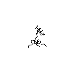 CCCO[Si](CC)(CCCN([Si](C)(C)C)[Si](C)(C)C)OCCC